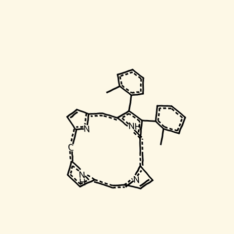 Cc1ccccc1-c1c(-c2ccccc2C)c2cc3nc(cc4ccc(cc5nc(cc1[nH]2)C=C5)[nH]4)C=C3